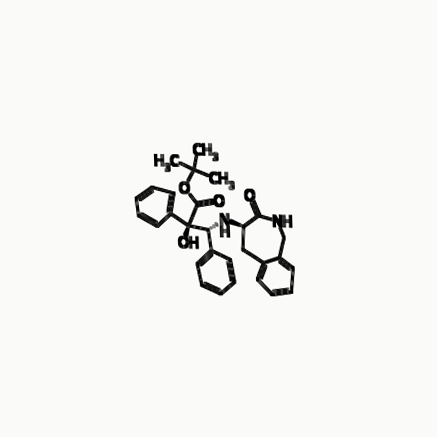 CC(C)(C)OC(=O)[C@@](O)(c1ccccc1)[C@H](N[C@@H]1Cc2ccccc2CNC1=O)c1ccccc1